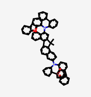 CC1(C)c2cc(N(c3ccccc3-c3ccccc3)c3cccc4c3oc3ccccc34)c3ccccc3c2-c2ccc3cc(N(c4ccccc4-c4ccccc4)c4cccc5c4oc4ccccc45)ccc3c21